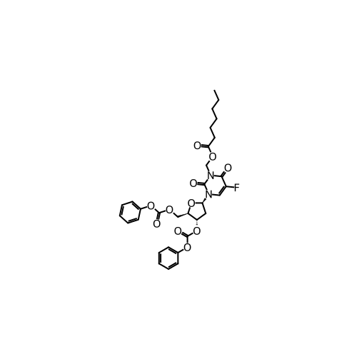 CCCCCCC(=O)OCn1c(=O)c(F)cn([C@H]2C[C@H](OC(=O)Oc3ccccc3)[C@@H](COC(=O)Oc3ccccc3)O2)c1=O